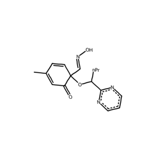 CCCC(OC1(C=NO)C=CC(C)=CC1=O)c1ncccn1